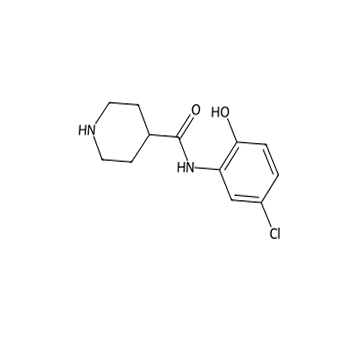 O=C(Nc1cc(Cl)ccc1O)C1CCNCC1